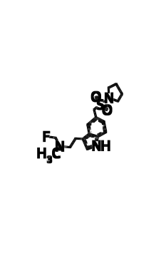 CN(CF)CCc1c[nH]c2ccc(CS(=O)(=O)N3CCCC3)cc12